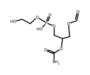 BC(=O)OC(COC=O)COP(=O)(O)OCCO